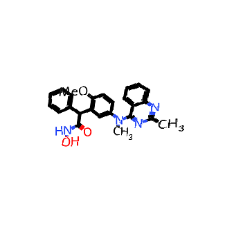 COc1ccc(N(C)c2nc(C)nc3ccccc23)cc1C(C(=O)NO)c1ccccc1